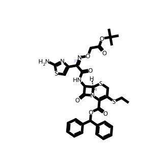 CCSC1=C(C(=O)OC(c2ccccc2)c2ccccc2)N2C(=O)C(NC(=O)/C(=N\OCC(=O)OC(C)(C)C)c3csc(N)n3)[C@H]2SC1